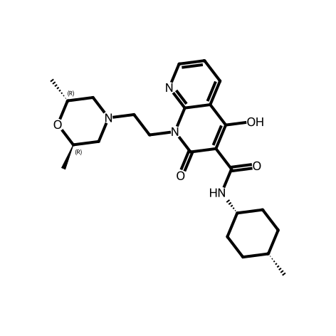 C[C@@H]1CN(CCn2c(=O)c(C(=O)N[C@H]3CC[C@@H](C)CC3)c(O)c3cccnc32)C[C@@H](C)O1